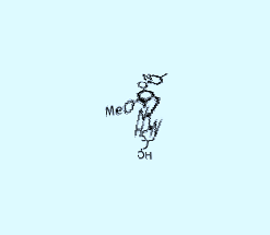 COc1cc(Oc2ccc(C)cn2)cc2cc(C3=NCC(CCO)S3)[nH]c12